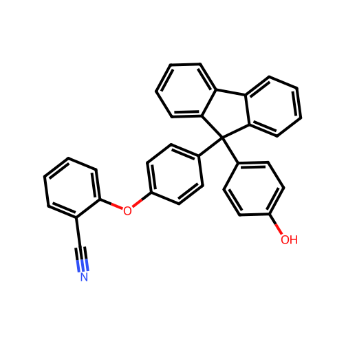 N#Cc1ccccc1Oc1ccc(C2(c3ccc(O)cc3)c3ccccc3-c3ccccc32)cc1